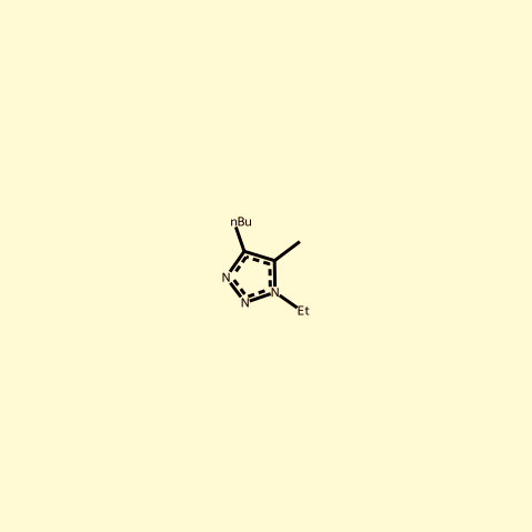 CCCCc1nnn(CC)c1C